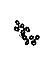 C1=CCC(N(c2cccc(N(c3ccccc3)c3ccccc3)c2)c2ccc3oc4ccc(N(c5ccccc5)c5cccc(N(c6ccccc6)c6ccccc6)c5)cc4c3c2)C=C1